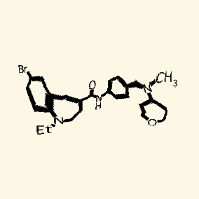 CCN1CCC(C(=O)Nc2ccc(CN(C)C3CCOCC3)cc2)=Cc2cc(Br)ccc21